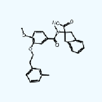 COc1ccc(C(=O)N(C)C2(C(=O)O)Cc3ccccc3C2)cc1OCCc1cccc(C)c1